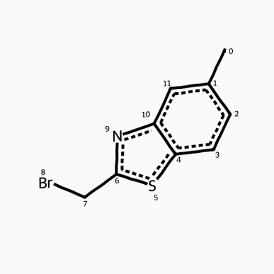 [CH2]c1ccc2sc(CBr)nc2c1